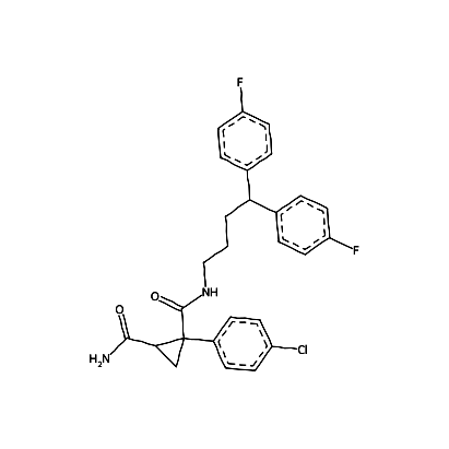 NC(=O)C1CC1(C(=O)NCCCC(c1ccc(F)cc1)c1ccc(F)cc1)c1ccc(Cl)cc1